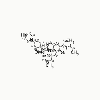 C=C/C(=C\C=C/C)c1nc2cnc(Nc3ccc(N4CCNCC4)cc3OC)nc2n(CC2CCCN(C)C2)c1=O